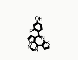 Oc1ccc(C2=Nc3sccc3-c3ncnn4ccc2c34)c(F)c1